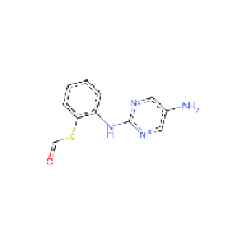 Nc1cnc(Nc2ccccc2SC=O)nc1